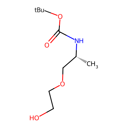 C[C@H](COCCO)NC(=O)OC(C)(C)C